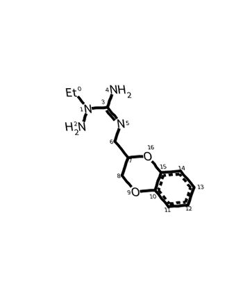 CCN(N)C(N)=NCC1COc2ccccc2O1